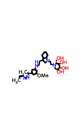 C=C(/N=N\C=C/C)c1cc(NCCc2cn(CCN3C[C@H](O)[C@@H](O)[C@H](O)[C@H]3CO)c3ccccc23)cc(OC)c1